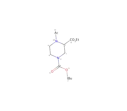 CCOC(=O)C1CN(C(=O)OC(C)(C)C)CCN1C(C)=O